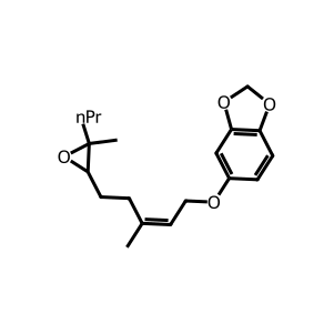 CCCC1(C)OC1CCC(C)=CCOc1ccc2c(c1)OCO2